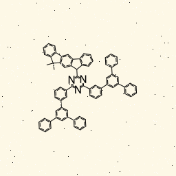 CC1(C)c2ccccc2-c2cc3c(cc21)C(c1nc(-c2cccc(-c4cc(-c5ccccc5)cc(-c5ccccc5)c4)c2)nc(-c2cccc(-c4cc(-c5ccccc5)cc(-c5ccccc5)c4)c2)n1)c1ccccc1-3